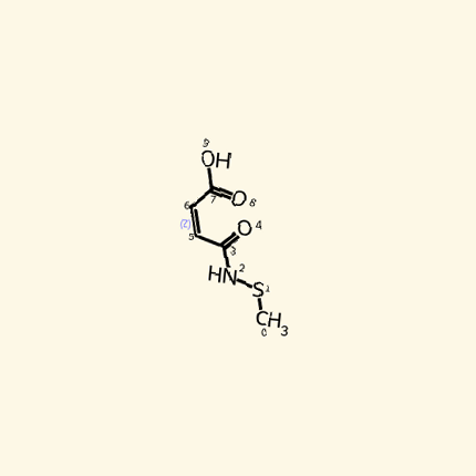 CSNC(=O)/C=C\C(=O)O